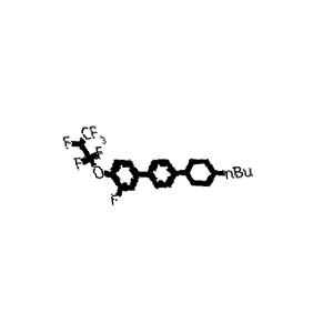 CCCCC1CCC(c2ccc(-c3ccc(OC(F)(F)C(F)C(F)(F)F)c(F)c3)cc2)CC1